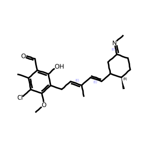 C/N=C1\CC[C@@H](C)C(/C=C/C(C)=C/Cc2c(O)c(C=O)c(C)c(Cl)c2OC)C1